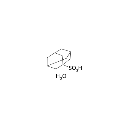 O.O=S(=O)(O)C12CC3CC(CC(C3)C1)C2